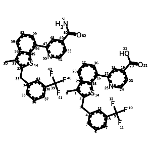 Cc1c(Cc2cccc(C(F)(F)F)c2)sc2c(-c3cc(C(=O)O)ccn3)cccc12.Cc1c(Cc2cccc(C(F)(F)F)c2)sc2c(-c3cc(C(N)=O)ccn3)cccc12